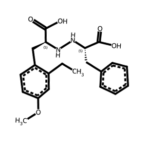 CCc1cc(OC)ccc1C[C@H](NN[C@@H](Cc1ccccc1)C(=O)O)C(=O)O